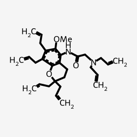 C=CCc1c(CC=C)c(OC)c(NC(=O)CN(CC=C)CC=C)c2c1OC(CC=C)(CC=C)CC2